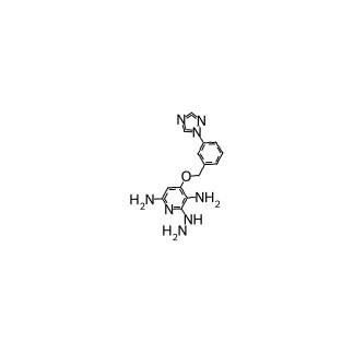 NNc1nc(N)cc(OCc2cccc(-n3cncn3)c2)c1N